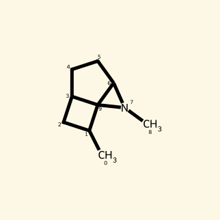 CC1CC2CCC3N(C)C123